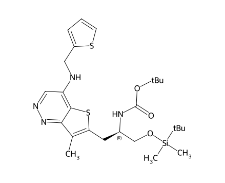 Cc1c(C[C@H](CO[Si](C)(C)C(C)(C)C)NC(=O)OC(C)(C)C)sc2c(NCc3cccs3)cnnc12